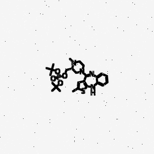 Cc1cc2c(s1)Nc1ccccc1N=C2N1CCN(C)C(COP(=O)(OC(C)(C)C)OC(C)(C)C)C1